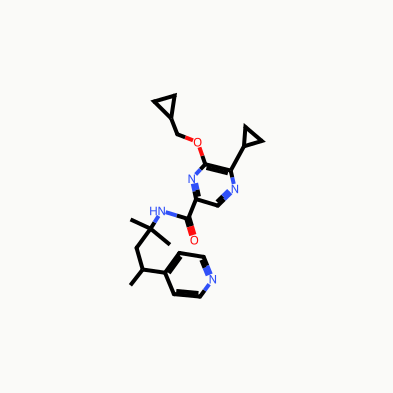 CC(CC(C)(C)NC(=O)c1cnc(C2CC2)c(OCC2CC2)n1)c1ccncc1